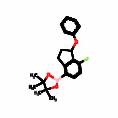 CC1(C)OB(c2ccc(F)c3c2CCC3Oc2ccccc2)OC1(C)C